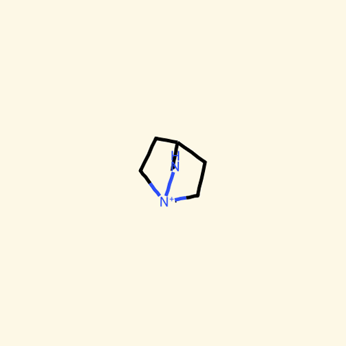 C1C[N+]2CCC1CN2